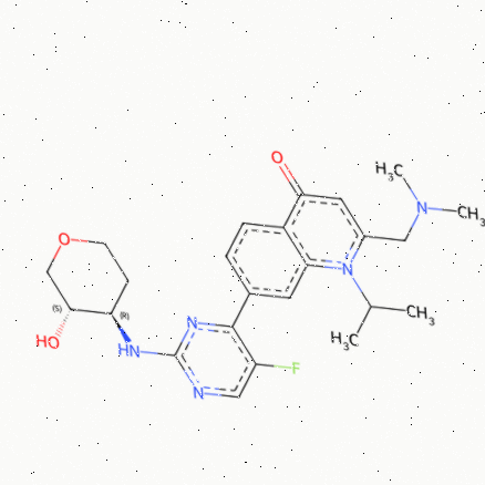 CC(C)n1c(CN(C)C)cc(=O)c2ccc(-c3nc(N[C@@H]4CCOC[C@H]4O)ncc3F)cc21